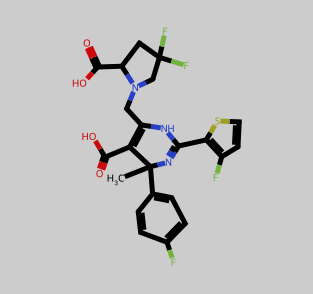 CC1(c2ccc(F)cc2)N=C(c2sccc2F)NC(CN2CC(F)(F)CC2C(=O)O)=C1C(=O)O